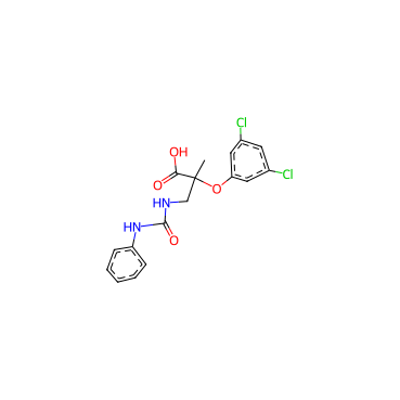 CC(CNC(=O)Nc1ccccc1)(Oc1cc(Cl)cc(Cl)c1)C(=O)O